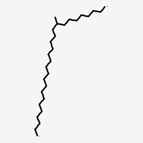 [CH2]CCCCCCCCCCCCCCCCCC(C)CCCCCCC[CH2]